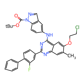 Cc1cc2nc(-c3ccc(-c4ccccc4)c(F)c3)nc(Nc3ccc4c(cnn4C(=O)OC(C)(C)C)c3)c2cc1OCCCl